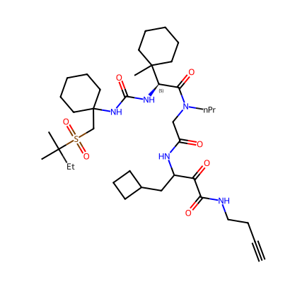 C#CCCNC(=O)C(=O)C(CC1CCC1)NC(=O)CN(CCC)C(=O)[C@@H](NC(=O)NC1(CS(=O)(=O)C(C)(C)CC)CCCCC1)C1(C)CCCCC1